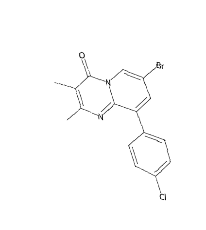 Cc1nc2c(-c3ccc(Cl)cc3)cc(Br)cn2c(=O)c1C